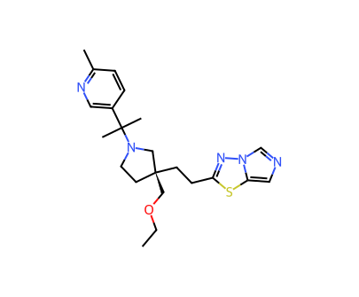 CCOC[C@@]1(CCc2nn3cncc3s2)CCN(C(C)(C)c2ccc(C)nc2)C1